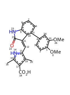 COc1ccc(-c2cccc3c2/C(=C/c2[nH]c(C)c(C(=O)O)c2C)C(=O)N3)cc1OC